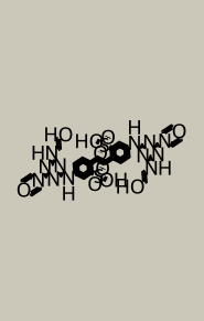 O=S(=O)(O)c1cc(Nc2nc(NCCO)nc(N3CCOCC3)n2)ccc1/C=C/c1ccc(Nc2nc(NCCO)nc(N3CCOCC3)n2)cc1S(=O)(=O)O